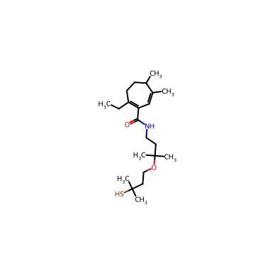 CCC1=C(C(=O)NCCC(C)(C)OCCC(C)(C)S)C=C(C)C(C)CC1